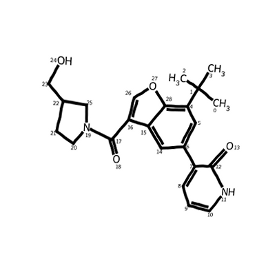 CC(C)(C)c1cc(-c2ccc[nH]c2=O)cc2c(C(=O)N3CCC(CO)C3)coc12